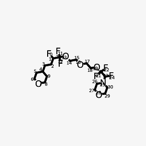 FC(CCC1CCOCC1)C(F)(F)OCCOCCOC(F)(F)C(F)N1CCOCC1